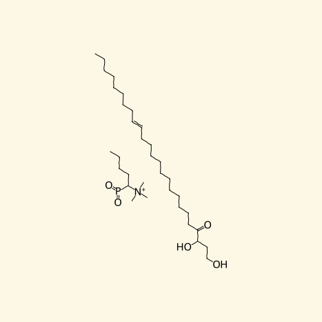 CCCCC(P(=O)=O)[N+](C)(C)C.CCCCCCCCC=CCCCCCCCCCCCC(=O)C(O)CCO